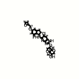 O[C@@H]1CO[C@H]2[C@@H]1OC[C@H]2Oc1nc2nc(NC3CCc4cc(OCC5CCO5)cc(F)c43)c(Cl)cc2[nH]1